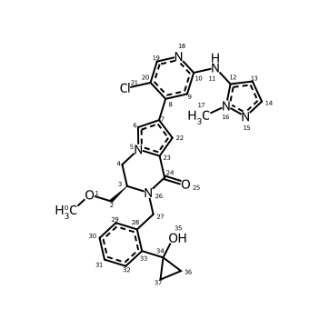 COC[C@H]1Cn2cc(-c3cc(Nc4ccnn4C)ncc3Cl)cc2C(=O)N1Cc1ccccc1C1(O)CC1